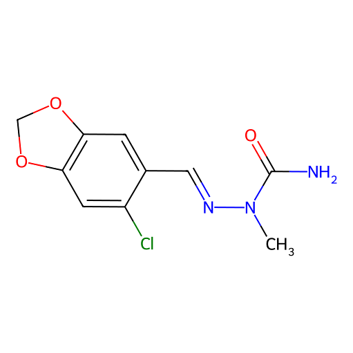 CN(N=Cc1cc2c(cc1Cl)OCO2)C(N)=O